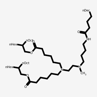 CCCCCCCCCCCCCC(=O)NCCCCN(C)CCN(CCCCCC(=O)OCC(CCCCCC)CCCCCCCC)CCCCCC(=O)OCC(CCCCCC)CCCCCCCC